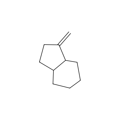 C=C1CCC2CCCCC12